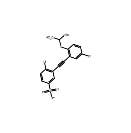 CC(C)S(=O)(=O)c1ccc(Cl)c(C#Cc2cc(Cl)ccc2OC(C(=O)O)C(C)(C)C)c1